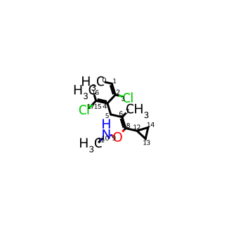 C/C=C(Cl)\C(C/C(C)=C(\ONC)C1CC1)=C(/C)Cl